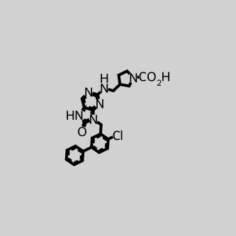 O=C(O)N1CCC(CNc2ncc3[nH]c(=O)n(Cc4cc(-c5ccccc5)ccc4Cl)c3n2)C1